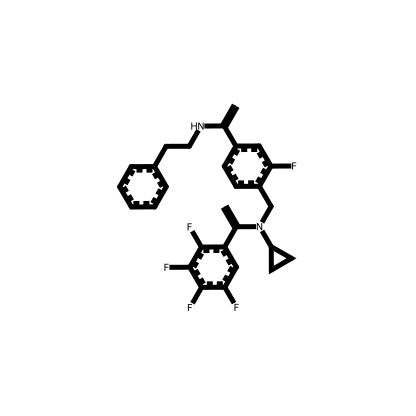 C=C(NCCc1ccccc1)c1ccc(CN(C(=C)c2cc(F)c(F)c(F)c2F)C2CC2)c(F)c1